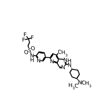 Cc1cc(-c2ccc(NS(=O)(=O)CCC(F)(F)F)nc2)nc2cnc(N[C@H]3CC[C@H](N(C)C)CC3)nc12